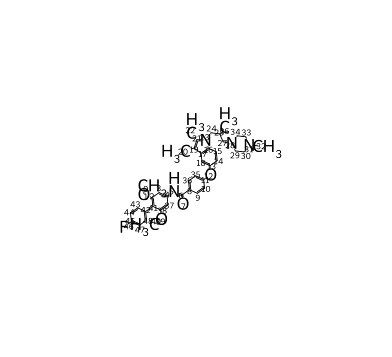 COc1cc(NC(=O)c2ccc(Oc3ccc4c(c3)c(C)c(C)n4CC(C)CN3CCN(C)CC3)cc2)cc(OC)c1-c1ccc(F)cc1